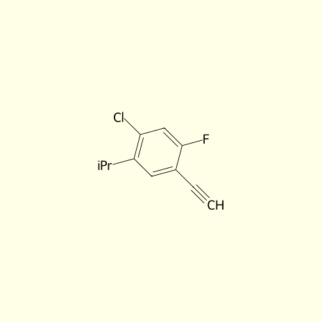 C#Cc1cc(C(C)C)c(Cl)cc1F